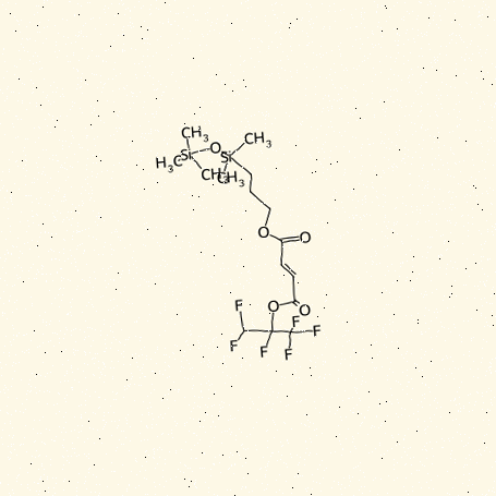 C[Si](C)(C)O[Si](C)(C)CCCOC(=O)C=CC(=O)OC(F)(C(F)F)C(F)(F)F